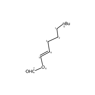 CCCCCCC/C=C/O[C]=O